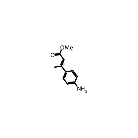 COC(=O)/C=C(\C)c1ccc(N)cc1